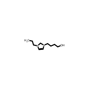 CCCN1C=CN(CCCCO)C1